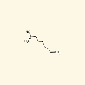 C=CCCCCCC(=C)C#N